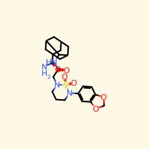 NC(=O)C12CC3CC(C1)C(NC(=O)CN1CCCN(c4ccc5c(c4)OCO5)S1(=O)=O)C(C3)C2